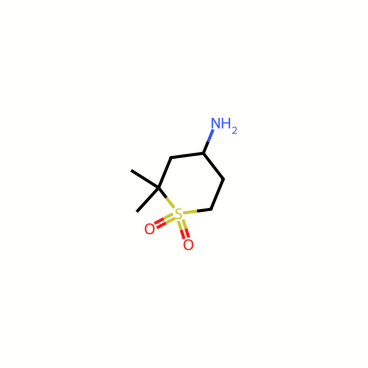 CC1(C)CC(N)CCS1(=O)=O